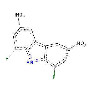 O=[N+]([O-])c1cc(F)c2[nH]c3c(F)cc([N+](=O)[O-])cc3c2c1